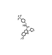 C=C(NCc1ccc(C(F)(F)F)cc1)c1cc2ccc(OC)cc2nc1-c1ccsc1